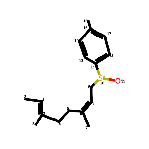 CC=C(C)CCC(C)=CC[S+]([O-])c1ccc(C)cc1